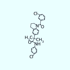 CC(C)(C(=O)Nc1ccc(Cl)cc1)c1ccc2c(c1)CCCN2C(=O)c1cccc(Cl)c1